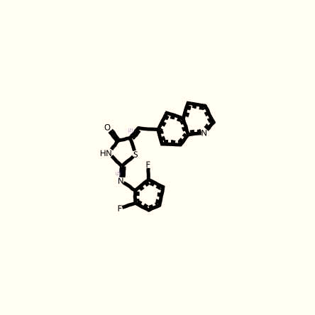 O=C1N/C(=N/c2c(F)cccc2F)S/C1=C\c1ccc2ncccc2c1